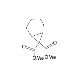 COC(=O)C1(C(=O)OC)C2CCCCC21